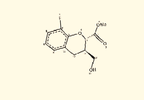 COC(=O)[C@H]1Oc2c(F)cccc2C[C@@H]1CO